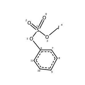 O=S(=O)(OI)Oc1ccccc1